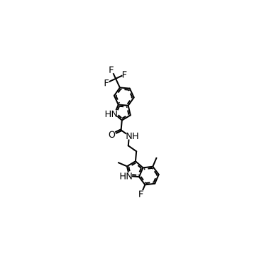 Cc1[nH]c2c(F)ccc(C)c2c1CCNC(=O)c1cc2ccc(C(F)(F)F)cc2[nH]1